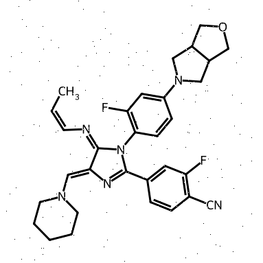 C\C=C/N=C1\C(=C\N2CCCCC2)N=C(c2ccc(C#N)c(F)c2)N1c1ccc(N2CC3COCC3C2)cc1F